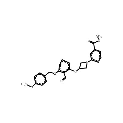 COC(=O)c1ccnc(N2CC(Oc3cccc(OCc4ccc(OC)cc4)c3C=O)C2)c1